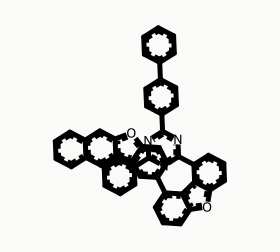 c1ccc(-c2ccc(-c3nc(-c4ccccc4)nc(-c4cccc5oc6cccc(-c7ccc8oc9cc%10ccccc%10cc9c8c7)c6c45)n3)cc2)cc1